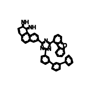 N=C1C=Cc2ccc3cc(-c4nc(-c5cccc(-c6cccc(-c7ccccc7)c6)c5)nc(-c5cccc6oc7ccccc7c56)n4)ccc3c2C1=N